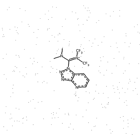 CN(C)C(n1nnc2ncccc21)=[N+](C(F)(F)F)C(F)(F)F